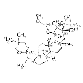 COCO[C@H]1C(C)(C)[C@](O)(C(C)(C)C)C[C@]2(O)C=C[C@H]3[C@@H]4CC[C@H](C(C)C5OCC(C)(C)CO5)[C@@]4(C)CC[C@@H]3[C@@]12C